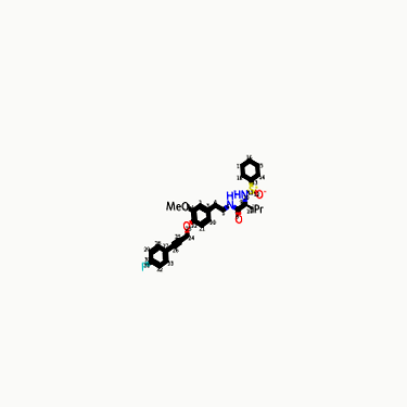 COc1cc(CCNC(=O)[C@@H](N[S+]([O-])C2CCCCC2)C(C)C)ccc1OCC#Cc1ccc(F)cc1